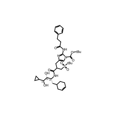 CC(C)(C)OC(=O)n1cc(CC(CS(=O)(=O)C(C)(C)C)C(=O)N[C@H](CC2CC=CCC2)[C@@H](O)[C@@H](O)C2CC2)nc1NC(=O)CCc1ccccc1